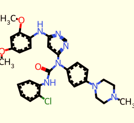 COc1ccc(Nc2cc(N(C(=O)Nc3ccccc3Cl)c3ccc(N4CCN(C)CC4)cc3)ncn2)c(OC)c1